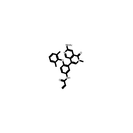 C=CC(=O)Nc1ccc(Oc2c(C)cccc2C)c(-c2cn(C)c(=O)c3cc(NC(C)=O)ncc23)c1